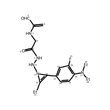 C=C(C=O)NCC(=O)NNN1C(CC)=C1c1ccc(N(CC)CC)c(F)c1